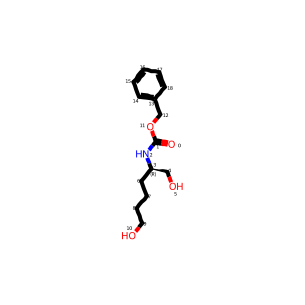 O=C(N[C@@H](CO)CCCCO)OCc1ccccc1